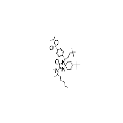 CCCCCC(C)N(C)C1=NC2(CCC(C(C)(C)C)CC2)N([C@H](CCC(C)(C)C)c2ccc(C(=O)OC(C)C)cc2)C1=O